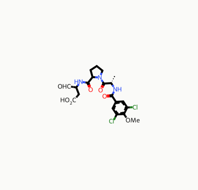 COc1c(Cl)cc(C(=O)N[C@@H](C)C(=O)N2CCCC2C(=O)NC(C=O)CC(=O)O)cc1Cl